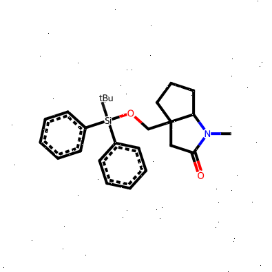 CN1C(=O)CC2(CO[Si](c3ccccc3)(c3ccccc3)C(C)(C)C)CCCC12